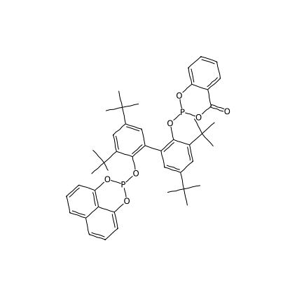 CC(C)(C)c1cc(-c2cc(C(C)(C)C)cc(C(C)(C)C)c2OP2Oc3cccc4cccc(c34)O2)c(OP2OC(=O)c3ccccc3O2)c(C(C)(C)C)c1